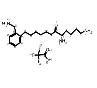 NCCCC[C@H](N)C(=O)CCCCCCc1ccccc1CN.O=C(O)C(F)(F)F